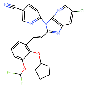 N#Cc1ccc(-n2c(C=Cc3cccc(OC(F)F)c3OC3CCCC3)nc3cc(Cl)cnc32)nc1